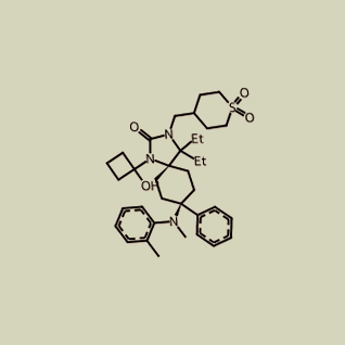 CCC1(CC)N(CC2CCS(=O)(=O)CC2)C(=O)N(C2(O)CCC2)[C@]12CC[C@](c1ccccc1)(N(C)c1ccccc1C)CC2